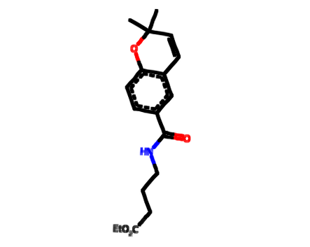 CCOC(=O)CCCNC(=O)c1ccc2c(c1)C=CC(C)(C)O2